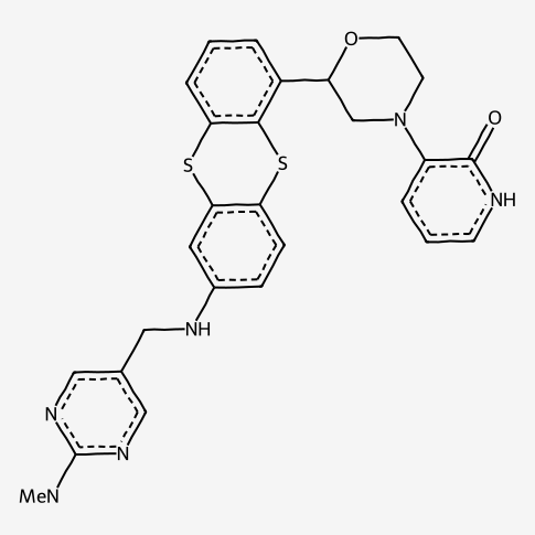 CNc1ncc(CNc2ccc3c(c2)Sc2cccc(C4CN(c5ccc[nH]c5=O)CCO4)c2S3)cn1